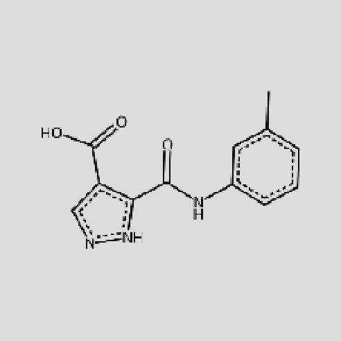 Cc1cccc(NC(=O)c2[nH]ncc2C(=O)O)c1